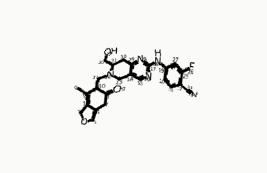 CC1=C2COC=C2CC(=O)C1CN1Cc2cnc(Nc3ccc(C#N)c(F)c3)nc2CC1CO